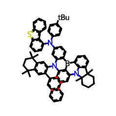 CC(C)(C)c1ccc(N(c2ccc3c(c2)N(c2cc4c(cc2-c2ccccc2)C(C)(C)CCC4(C)C)c2cc(-c4ccccc4)cc4c2B3c2cccc3c2N4C2(C)CCCCC32C)c2cccc3sc4ccccc4c23)cc1